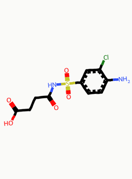 Nc1ccc(S(=O)(=O)NC(=O)CCC(=O)O)cc1Cl